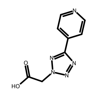 O=C(O)Cn1nnc(-c2ccncc2)n1